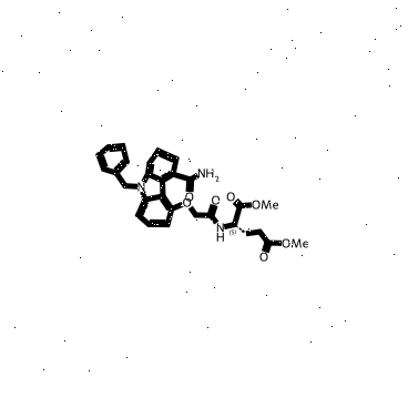 COC(=O)CC[C@H](NC(=O)COc1cccc2c1c1c(C(N)=O)cccc1n2Cc1ccccc1)C(=O)OC